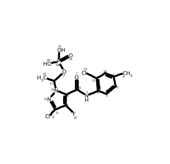 Cc1ccc(NC(=O)c2c(F)c(Cl)nn2C(C)OP(=O)(O)O)c(Cl)c1